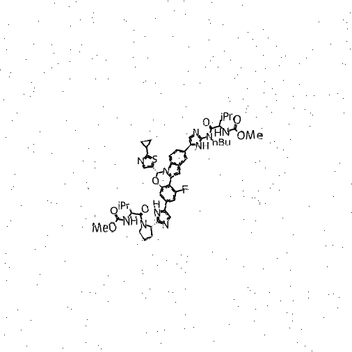 CCCCN(C(=O)C(NC(=O)OC)C(C)C)c1ncc(-c2ccc3c(c2)cc2n3[C@@H](c3cnc(C4CC4)s3)Oc3cc(-c4cnc([C@@H]5CCCN5C(=O)C(NC(=O)OC)C(C)C)[nH]4)cc(F)c3-2)[nH]1